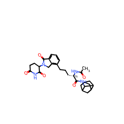 CC(=O)N[C@@H](CCCc1cccc2c1CN(C1CCC(=O)NC1=O)C2=O)C(=O)NC1C2CC3CC(C2)C1C3